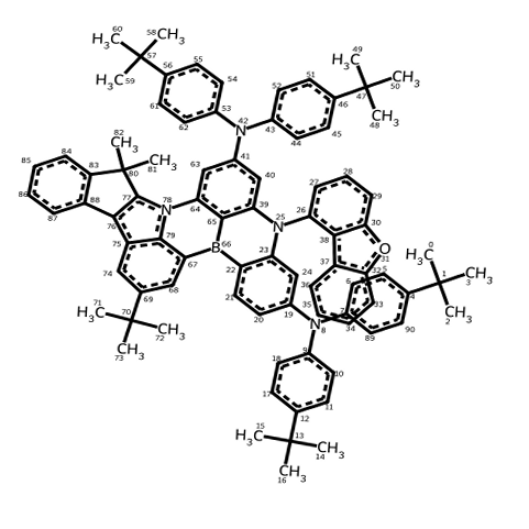 CC(C)(C)c1ccc(N(c2ccc(C(C)(C)C)cc2)c2ccc3c(c2)N(c2cccc4oc5ccccc5c24)c2cc(N(c4ccc(C(C)(C)C)cc4)c4ccc(C(C)(C)C)cc4)cc4c2B3c2cc(C(C)(C)C)cc3c5c(n-4c23)C(C)(C)c2ccccc2-5)cc1